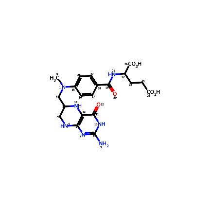 CN(CC1CNc2nc(N)[nH]c(=O)c2N1)c1ccc(C(=O)NC(CCC(=O)O)C(=O)O)cc1